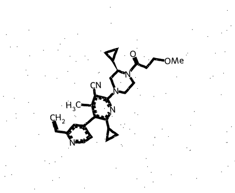 C=Cc1cc(-c2c(C3CC3)nc(N3CCN(C(=O)CCOC)[C@H](C4CC4)C3)c(C#N)c2C)ccn1